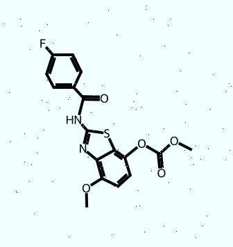 COC(=O)Oc1ccc(OC)c2nc(NC(=O)c3ccc(F)cc3)sc12